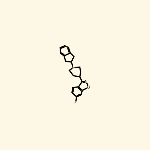 Fc1ccc2c(C3CCN(C4Cc5ccccc5C4)CC3)noc2c1